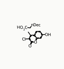 CCCCCCCCCCCC(=O)O.Cc1c(Cl)c(=O)oc2cc(O)ccc12